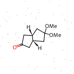 COC1(OC)C[C@H]2CC(=O)C[C@H]2C1